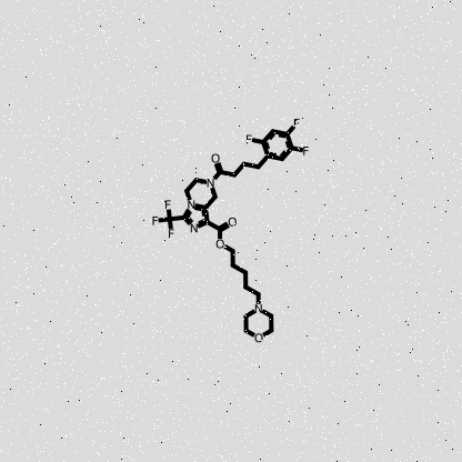 O=C(OCCCCCN1CCOCC1)c1nc(C(F)(F)F)n2c1CN(C(=O)CCCc1cc(F)c(F)cc1F)CC2